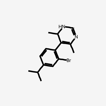 CC1=C(c2ccc(C(C)C)cc2Br)C(C)N[C]=N1